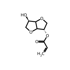 C=CC(=O)O[C@H]1COC2C1OC[C@H]2O